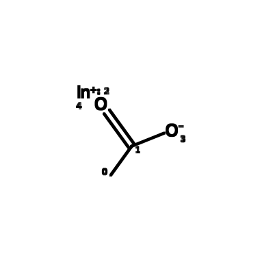 CC(=O)[O-].[In+]